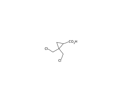 O=C(O)C1CC1(CCl)CCl